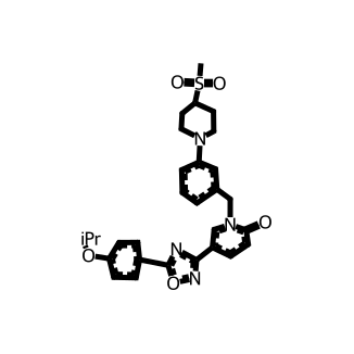 CC(C)Oc1ccc(-c2nc(-c3ccc(=O)n(Cc4cccc(N5CCC(S(C)(=O)=O)CC5)c4)c3)no2)cc1